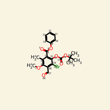 COc1c(C)c(C(=O)Oc2ccccc2)c(OC(=O)OC(C)(C)C)c(Br)c1C=O